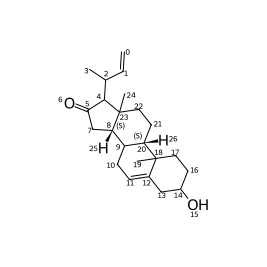 C=CC(C)C1C(=O)C[C@H]2C3CC=C4CC(O)CCC4(C)[C@H]3CCC12C